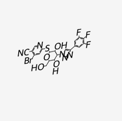 N#Cc1cnc(SC2OC(CO)C(O)C(n3cc(-c4cc(F)c(F)c(F)c4)nn3)C2O)cc1Br